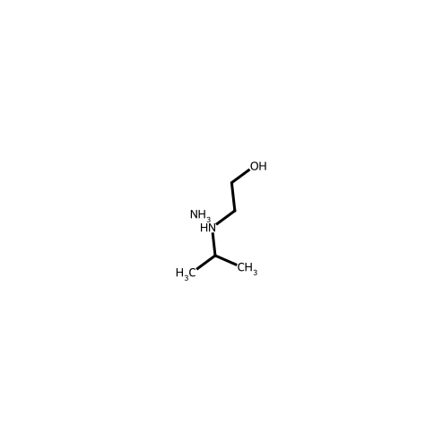 CC(C)NCCO.N